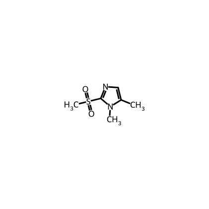 Cc1cnc(S(C)(=O)=O)n1C